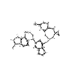 CCOC(=O)CC(c1cc(CN2Cc3nc(O)ccc3OC3(CC3)C2)c2sccc2c1)c1ccn2c(C)nnc2c1C